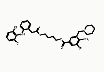 Nc1c(Br)cc(C(=O)OCCCCOC(=O)Cc2ccccc2Nc2c(Cl)cccc2Cl)cc1CN1CCCCC1